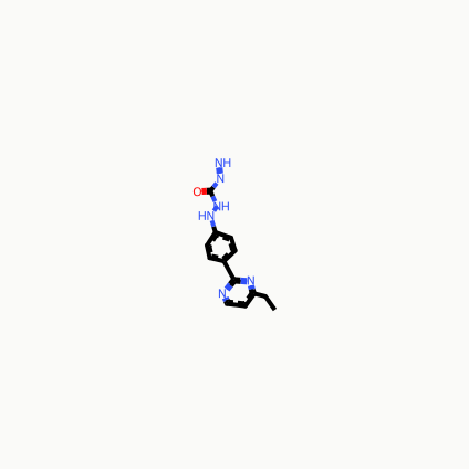 CCc1ccnc(-c2ccc(NNC(=O)N=N)cc2)n1